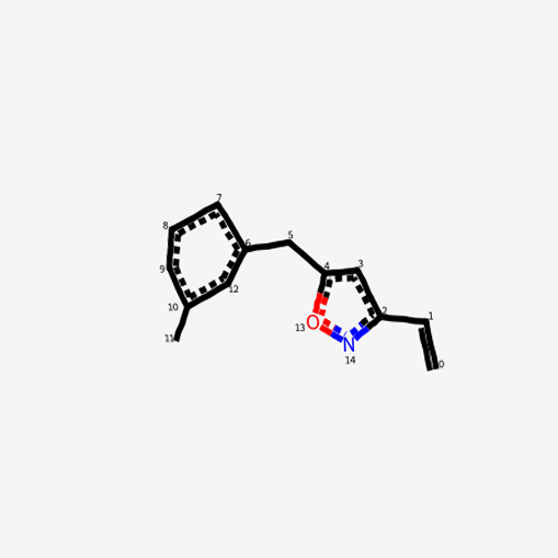 C=Cc1cc(Cc2cccc(C)c2)on1